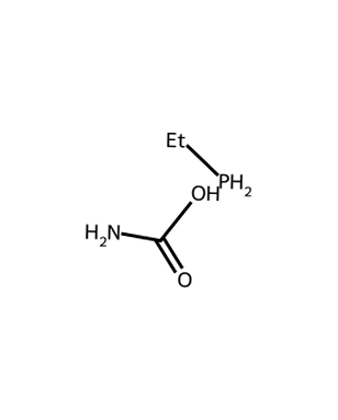 CCP.NC(=O)O